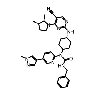 C[C@@H]1CCN(c2nc(N[C@H]3CC[C@H](N(C(=O)NCc4ccccc4)c4ccc(-c5cnn(C)c5)cn4)CC3)ncc2C#N)[C@@H]1C